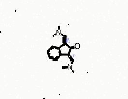 CN(C)/C=C1/C(=O)/C(=C/N(C)C)c2ccccc21